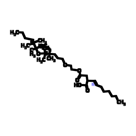 CCCCCC/C=C/C(CC(=O)OCCOCCCC(C)(CC)[Si](C)(C)OC(C)(C)[Si](C)(C)CCCC)C(=O)O